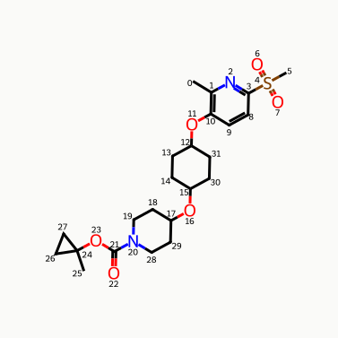 Cc1nc(S(C)(=O)=O)ccc1OC1CCC(OC2CCN(C(=O)OC3(C)CC3)CC2)CC1